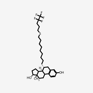 C[C@]12CCC3c4ccc(O)cc4C[C@@H](CCCCCCCCCSCCCC(F)(F)C(F)(F)F)[C@@H]3C1CC[C@@H]2O